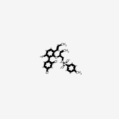 C=CC(COS(=O)(=O)c1ccc(C)cc1)Oc1c(C=CC)ccc(F)c1-c1ccc(Cl)cc1Cl